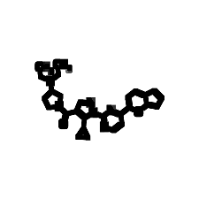 CCN(CC)C1CCN(C(=O)c2cnn(-c3nccc(-c4ccc5cccc-5o4)n3)c2C2CC2)C1